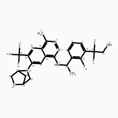 Cc1nnc(N[C@H](C)c2cccc(C(F)(F)CO)c2F)c2cc(N3CC4CC3CO4)c(C(F)(F)F)nc12